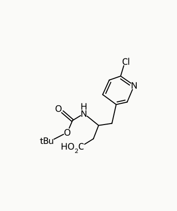 CC(C)(C)OC(=O)NC(CC(=O)O)Cc1ccc(Cl)nc1